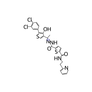 C/C(=N\NC(=O)c1ccc(C(=O)NCCc2ccccn2)s1)c1csc(-c2ccc(Cl)c(Cl)c2)c1O